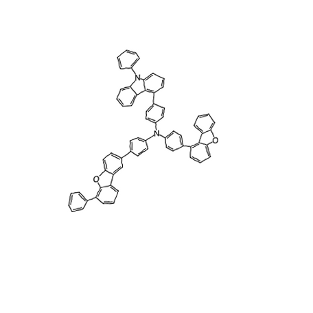 c1ccc(-c2cccc3c2oc2ccc(-c4ccc(N(c5ccc(-c6cccc7oc8ccccc8c67)cc5)c5ccc(-c6cccc7c6c6ccccc6n7-c6ccccc6)cc5)cc4)cc23)cc1